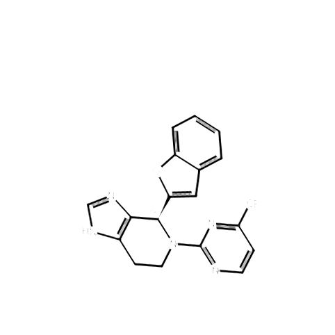 FC(F)(F)c1ccnc(N2CCc3[nH]cnc3[C@H]2c2cc3ccccc3o2)n1